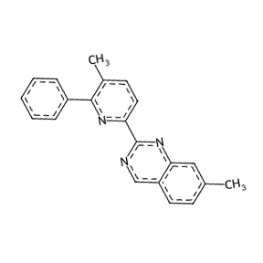 Cc1ccc2cnc(-c3ccc(C)c(-c4ccccc4)n3)nc2c1